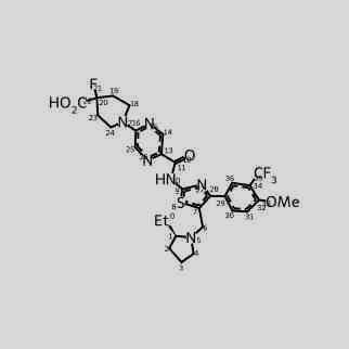 CC[C@@H]1CCCN1Cc1sc(NC(=O)c2cnc(N3CCC(F)(C(=O)O)CC3)cn2)nc1-c1ccc(OC)c(C(F)(F)F)c1